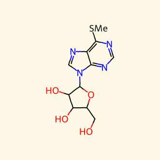 CSc1ncnc2c1ncn2C1OC(CO)C(O)C1O